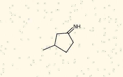 CC1CCC(=N)C1